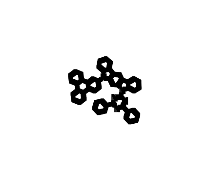 c1ccc(-c2nc(-c3ccccc3)nc(-n3c4ccccc4c4cc5c6ccccc6n(-c6ccc7c8ccccc8c8ccccc8c7c6)c5cc43)n2)cc1